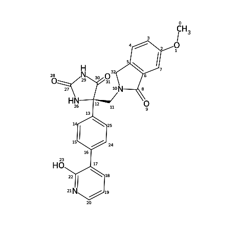 COc1ccc2c(c1)C(=O)N(C[C@@]1(c3ccc(-c4cccnc4O)cc3)NC(=O)NC1=O)C2